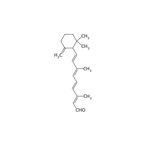 C=C1CCCC(C)(C)C1/C=C/C(C)=C/C=C/C(C)=C/C=O